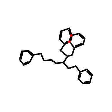 c1ccc(CCCC[C](CCc2ccccc2)C(Cc2ccccc2)Cc2ccccc2)cc1